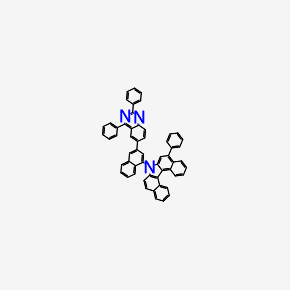 c1ccc(-c2nc(-c3ccccc3)c3cc(-c4cc(-n5c6ccc7ccccc7c6c6c7ccccc7c(-c7ccccc7)cc65)c5ccccc5c4)ccc3n2)cc1